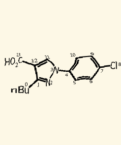 CCCCc1nn(-c2ccc(Cl)cc2)cc1C(=O)O